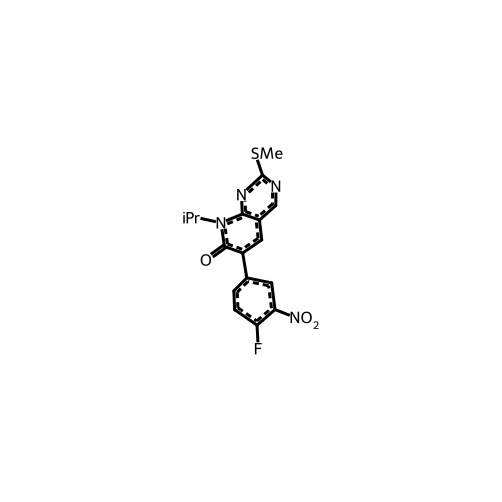 CSc1ncc2cc(-c3ccc(F)c([N+](=O)[O-])c3)c(=O)n(C(C)C)c2n1